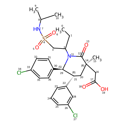 CCC(CS(=O)(=O)NC(C)C)N1C(=O)[C@@](C)(CC(=O)O)C[C@H](c2cccc(Cl)c2)[C@H]1c1ccc(Cl)cc1